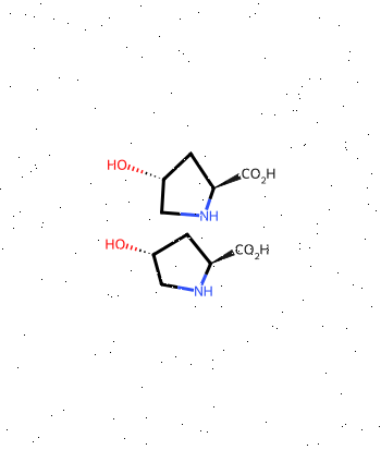 O=C(O)[C@@H]1C[C@@H](O)CN1.O=C(O)[C@@H]1C[C@@H](O)CN1